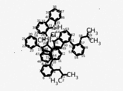 CC(C)Cc1ccccc1-c1cccc2c1C=C(c1ccccc1)[CH]2[Hf]([Cl])([Cl])([c]1cccc2c1[SiH2]c1ccccc1-2)[CH]1C(c2ccccc2)=Cc2c(-c3ccccc3CC(C)C)cccc21